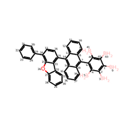 Bc1c(B)c(B)c(-c2c3ccccc3c(-c3ccc(-c4ccccc4)c4oc5ccccc5c34)c3ccccc23)c(B)c1B